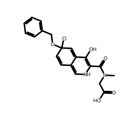 CN(CC(=O)O)C(=O)C1=C(O)C2=CC(Cl)(OCc3ccccc3)C=CC2=CN1